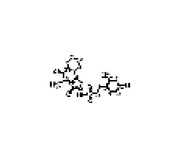 C[C@@H](C(=O)N1CCOCC1)N1CC[C@H](NS(=O)(=O)CCc2ccc(Cl)cc2Cl)C1=O